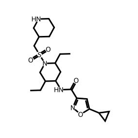 CCC1CN(S(=O)(=O)CC2CCCNC2)C(CC)CC1NC(=O)c1cc(C2CC2)on1